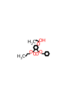 C=CC(=O)O.CCCCOC(=O)c1ccccc1C(=O)OCc1ccccc1